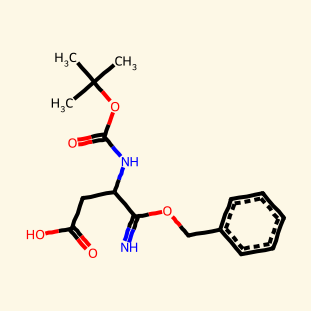 CC(C)(C)OC(=O)NC(CC(=O)O)C(=N)OCc1ccccc1